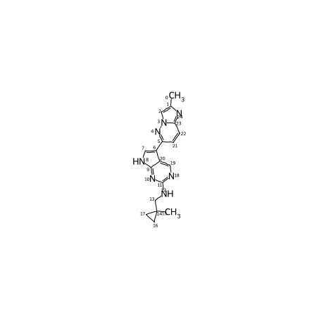 Cc1cn2nc(-c3c[nH]c4nc(NCC5(C)CC5)ncc34)ccc2n1